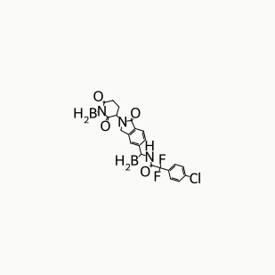 BC(NC(=O)C(F)(F)c1ccc(Cl)cc1)c1ccc2c(c1)CN(C1CCC(=O)N(B)C1=O)C2=O